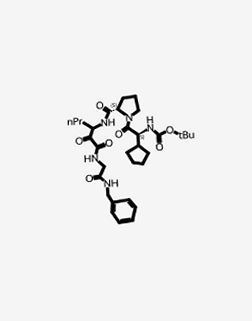 CCCC(NC(=O)[C@@H]1CCCN1C(=O)[C@@H](NC(=O)OC(C)(C)C)C1CCCC1)C(=O)C(=O)NCC(=O)NCc1ccccc1